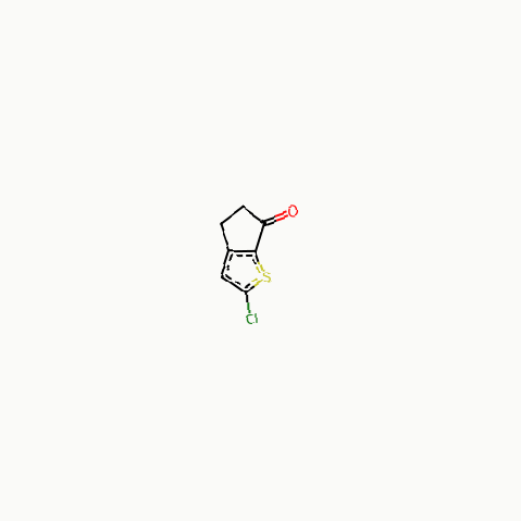 O=C1CCc2cc(Cl)sc21